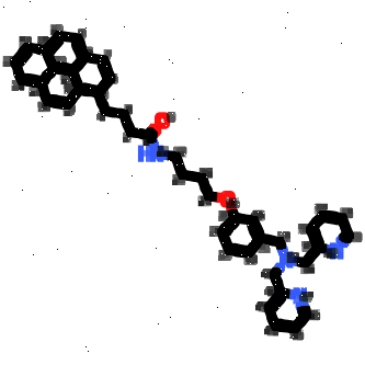 O=C(CCCc1ccc2ccc3cccc4ccc1c2c34)NCCCCOc1cccc(CN(Cc2ccccn2)Cc2ccccn2)c1